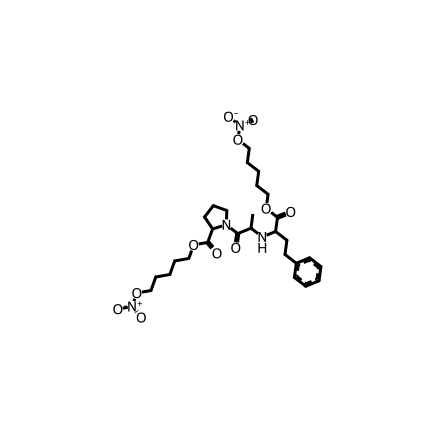 CC(NC(CCc1ccccc1)C(=O)OCCCCCO[N+](=O)[O-])C(=O)N1CCCC1C(=O)OCCCCCO[N+](=O)[O-]